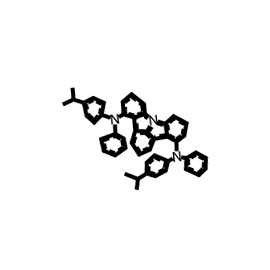 CC(C)c1ccc(N(c2ccccc2)c2cccc3c2c2cccc4c5c(N(c6ccccc6)c6ccc(C(C)C)cc6)cccc5n3c24)cc1